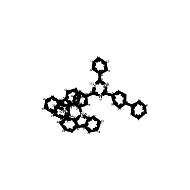 c1ccc(-c2ccc(-c3nc(-c4ccccc4)nc(-c4ccc(-c5ccccc5)c(-n5c6ccccc6c6cccc(-n7c8ccccc8c8ccccc87)c65)c4)n3)cc2)cc1